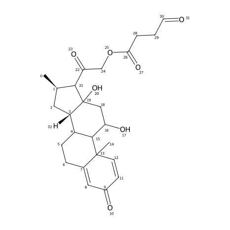 C[C@@H]1C[C@H]2C3CCC4=CC(=O)C=CC4(C)C3C(O)CC2(O)C1C(=O)COC(=O)CCC=O